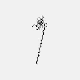 CCCCCCCCCCCCCCCCCC(=O)O[SH](OC(=O)CC)OC(=O)CC